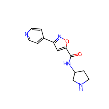 O=C(NC1CCNC1)c1cc(-c2ccncc2)no1